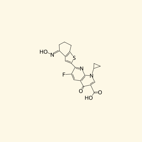 O=C(O)c1cn(C2CC2)c2nc(-c3cc4c(s3)CCC/C4=N\O)c(F)cc2c1=O